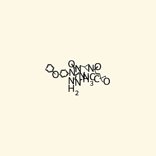 CC1(/C=C(\C#N)C(=O)N2CC(Cn3c(=O)n(-c4ccc(Oc5ccccc5)cc4)c4c(N)ncnc43)C2)COC1